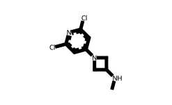 CNC1CN(c2cc(Cl)nc(Cl)c2)C1